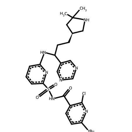 CC1(C)C[C@H](CCC(Nc2cccc(S(=O)(=O)NC(=O)c3ccc(C(C)(C)C)nc3Cl)n2)c2cncnc2)CN1